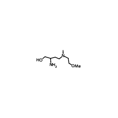 COCCN(C)CCC(N)CO